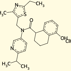 CCc1nc(C)c(CN(C(=O)C2CCCc3c(O)cccc32)c2ccc(C(C)C)nc2)s1.Cl